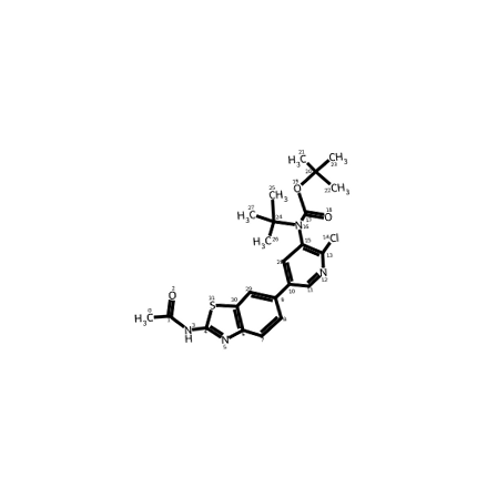 CC(=O)Nc1nc2ccc(-c3cnc(Cl)c(N(C(=O)OC(C)(C)C)C(C)(C)C)c3)cc2s1